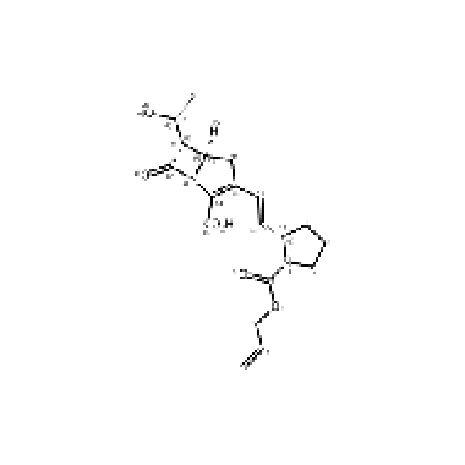 C=CCOC(=O)N1CCC[C@H]1C=CC1=C(C(=O)O)N2C(=O)[C@H]([C@@H](C)O)[C@H]2C1